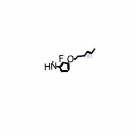 C/C=C/CCCOc1cccc(NC)c1F